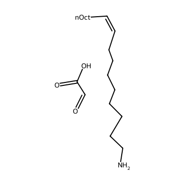 CCCCCCCC/C=C\CCCCCCCCN.O=CC(=O)O